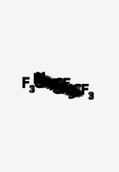 FC(F)(F)C1(c2ccc(-c3ccc(C(c4ccc(-c5ccc(C6(C(F)(F)F)N=N6)cc5)cc4)(C(F)(F)F)C(F)(F)F)cc3)cc2)C=C1